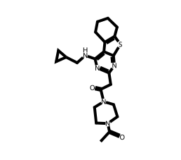 CC(=O)N1CCN(C(=O)Cc2nc(NCC3CC3)c3c4c(sc3n2)CCCC4)CC1